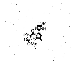 COC(=O)N[C@H](C(=O)N1[C@H](C)C(C)C[C@H]1c1ncc(Br)[nH]1)C(C)C